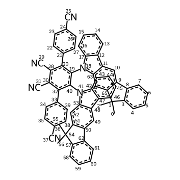 CC1(C)c2ccccc2-c2cc3c4ccccc4n(-c4c(-c5ccc(C#N)cc5)c(C#N)c(C#N)c(-c5ccc(C#N)cc5)c4-n4c5ccccc5c5cc6c(cc54)C(C)(C)c4ccccc4-6)c3cc21